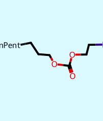 CCCCCCCCOC(=O)OCCI